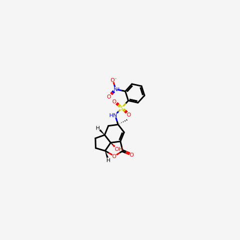 C[C@]1(NS(=O)(=O)c2ccccc2[N+](=O)[O-])C=C2C(=O)O[C@@H]3CC[C@H](C1)[C@]23O